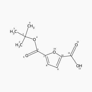 CC(C)(C)OC(=O)c1ccc(C(=O)O)o1